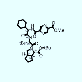 COC(=O)c1cnc(C(=O)N[C@H](C(=O)N[C@H](C(=O)N2C[C@@H]3CCC[C@@H]3[C@H]2C(=O)OC(C)(C)C)C(C)(C)C)C2CCCCC2)cn1